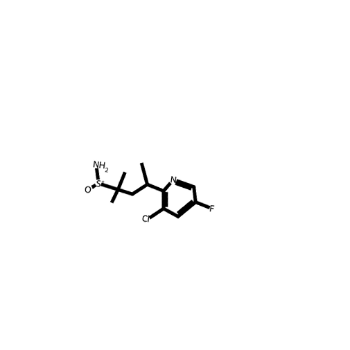 CC(CC(C)(C)[S+](N)[O-])c1ncc(F)cc1Cl